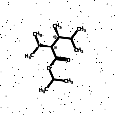 CC(C)OC(=O)[C@H]([C@@H](C)C(C)C)N(C)C